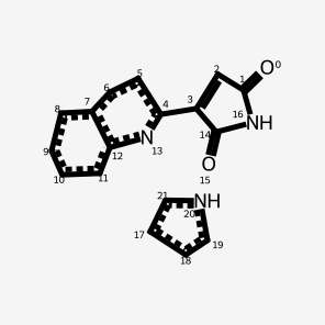 O=C1C=C(c2ccc3ccccc3n2)C(=O)N1.c1cc[nH]c1